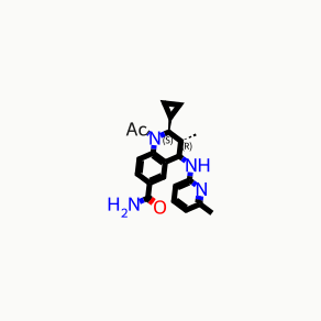 CC(=O)N1c2ccc(C(N)=O)cc2C(Nc2cccc(C)n2)[C@@H](C)[C@@H]1C1CC1